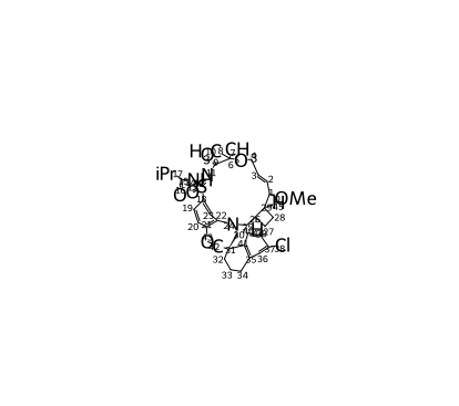 CO[C@@H]1/C=C/COC(C)(C)C(=O)N=S(=O)(NC(=O)C(C)C)c2ccc3c(c2)N(C[C@@H]2CC[C@H]21)C[C@@]1(CCCc2cc(Cl)ccc21)CO3